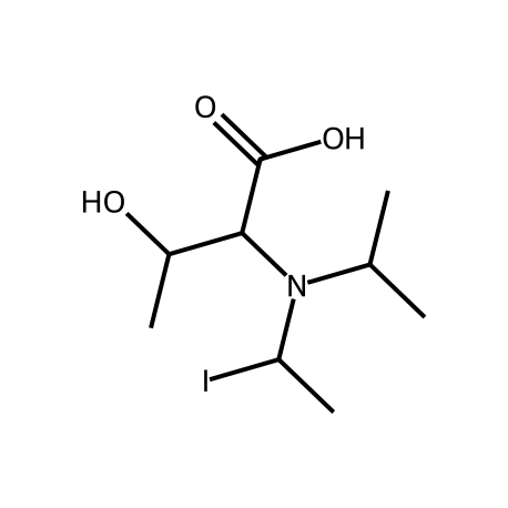 CC(O)C(C(=O)O)N(C(C)C)C(C)I